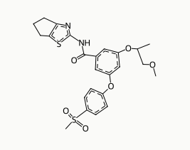 COCC(C)Oc1cc(Oc2ccc(S(C)(=O)=O)cc2)cc(C(=O)Nc2nc3c(s2)CCC3)c1